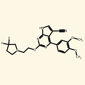 COc1ccc(-c2nc(OCCN3CCC(F)(F)C3)nc3[nH]cc(C#N)c23)cc1OC